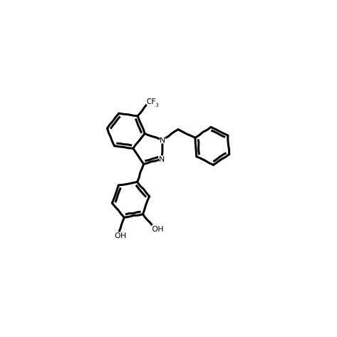 Oc1ccc(-c2nn(Cc3ccccc3)c3c(C(F)(F)F)cccc23)cc1O